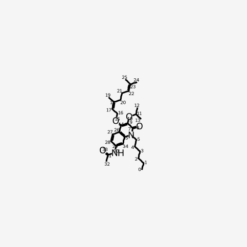 CCCCCCn1c(=O)c(OC(C)C)c(OCC=C(C)CCC=C(C)C)c2ccc(NC(C)=O)cc21